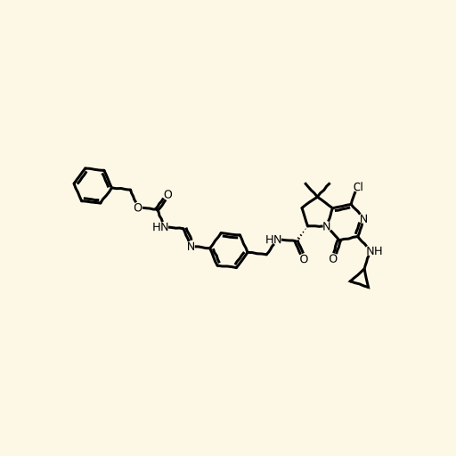 CC1(C)C[C@@H](C(=O)NCc2ccc(N=CNC(=O)OCc3ccccc3)cc2)n2c1c(Cl)nc(NC1CC1)c2=O